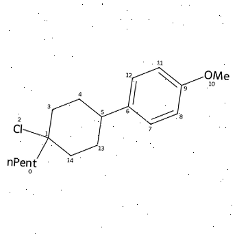 CCCCCC1(Cl)CCC(c2ccc(OC)cc2)CC1